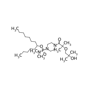 CCCCCCCC(CCCCC)OP(=O)(N(C)C)N1CCN(C(=O)C(C)(C)OCC(C)(C)O)CC1